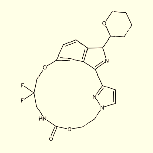 O=C1NCC(F)(F)COc2ccc3c(c2)C(=NC3C2CCCCO2)c2ccn(n2)CCO1